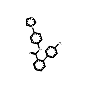 O=C(Nc1ccc(-n2ccnc2)cc1)c1ccccc1-c1ccc(C(F)(F)F)cc1